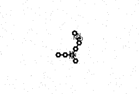 c1ccc(-c2ccc(-c3nc(-c4ccccc4)nc(-c4ccc(-c5ccc6oc7nc8ccccc8nc7c6c5)cc4)n3)cc2)cc1